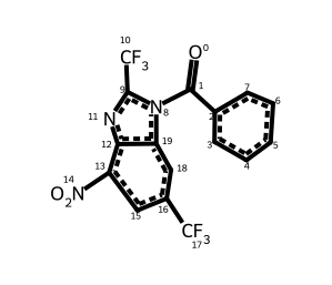 O=C(c1ccccc1)n1c(C(F)(F)F)nc2c([N+](=O)[O-])cc(C(F)(F)F)cc21